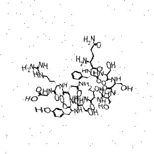 C[C@@H](O)[C@H](NC(=O)[C@H](CO)NC(=O)[C@H](CO)NC(=O)[C@@H](NC(=O)[C@H](Cc1ccccc1)NC(=O)[C@@H](N)CCC(N)=O)[C@@H](C)O)C(=O)N[C@@H](CO)C(=O)N[C@@H](Cc1ccc(O)cc1)C(=O)N[C@@H](CC(N)=O)C(=O)N[C@@H](CCCNC(=N)N)C(=O)NCC(=O)O